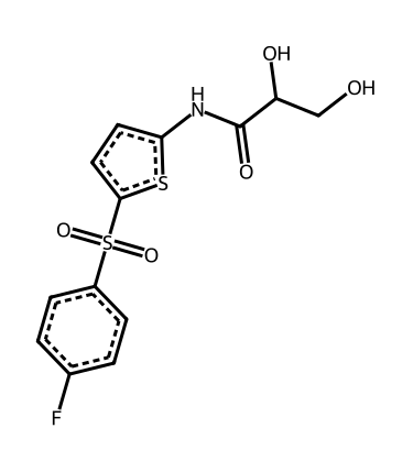 O=C(Nc1ccc(S(=O)(=O)c2ccc(F)cc2)s1)C(O)CO